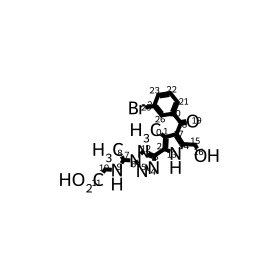 Cc1c(-c2nnn(C(C)NCC(=O)O)n2)[nH]c(CO)c1C(=O)c1cccc(Br)c1